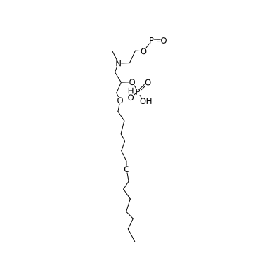 CCCCCCCCCCCCCCOCC(CN(C)CCOP=O)OP(=O)(O)O